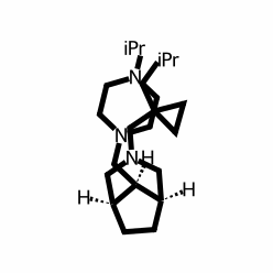 CC(C)CC1(CN2C[C@H]3CC[C@@H](C2)[C@H]3CN2CCN(C(C)C)CC2)CC1